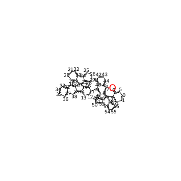 c1ccc2c(c1)Oc1c(cc(-c3ccc4c(c3)C3(c5ccccc5-c5ccccc53)c3cc5ccccc5cc3-4)c3ccccc13)C21c2ccccc2-c2ccccc21